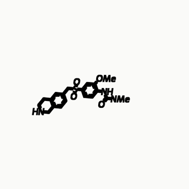 CNC(=O)Nc1ccc(S(=O)(=O)Cc2ccc3c(c2)CCNC3)cc1OC